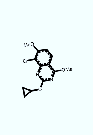 COc1ccc2c(OC)nc(OC3CC3)nc2c1Cl